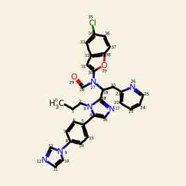 CCCn1c(-c2ccc(-n3ccnc3)cc2)cnc1C(Cc1ccccn1)N(C=O)c1cc2cc(Cl)ccc2o1